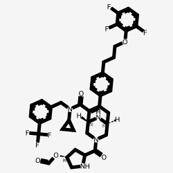 O=CO[C@H]1CNC(C(=O)N2C[C@@H]3CC(c4ccc(CCCOc5c(F)ccc(F)c5F)cc4)=C(C(=O)N(Cc4cccc(C(F)(F)F)c4)C4CC4)[C@@H](C2)N3)C1